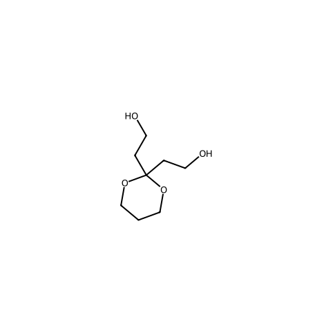 OCCC1(CCO)OCCCO1